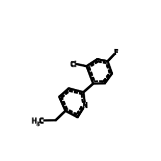 CCc1ccc(-c2ccc(F)cc2Cl)nc1